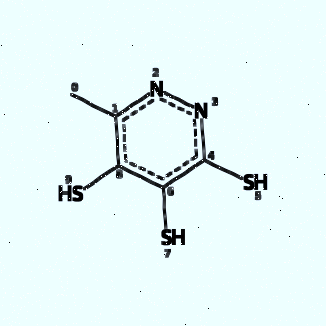 Cc1nnc(S)c(S)c1S